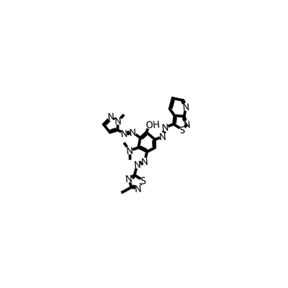 Cc1nsc(/N=N/c2cc(/N=N/c3snc4ncccc34)c(O)c(/N=N/c3ccnn3C)c2N(C)C)n1